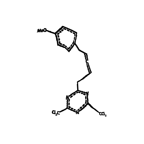 COc1ccc(C=C=CCc2nc(C(Cl)(Cl)Cl)nc(C(Cl)(Cl)Cl)n2)cc1